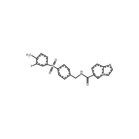 Cc1ccc(S(=O)(=O)c2ccc(CNC(=O)c3ccc4nccn4c3)cc2)cc1F